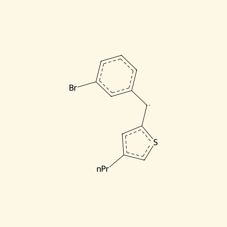 CCCc1csc([CH]c2cccc(Br)c2)c1